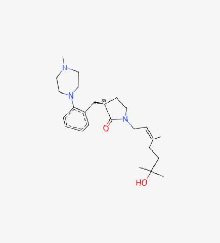 CC(=CCN1CC[C@H](Cc2ccccc2N2CCN(C)CC2)C1=O)CCC(C)(C)O